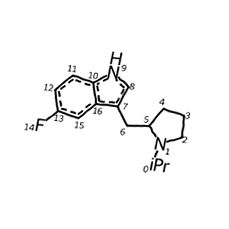 CC(C)N1CCCC1Cc1c[nH]c2ccc(F)cc12